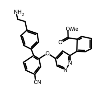 COC(=O)c1ccccc1-c1cc(Oc2cc(C#N)ccc2-c2ccc(CCN)cc2)cnn1